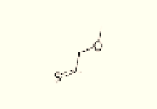 COC[C]=S